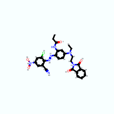 CCC(=O)Nc1cc(N(CC)CCN2C(=O)c3ccccc3C2=O)ccc1/N=N/c1c(Cl)cc([N+](=O)[O-])cc1C#N